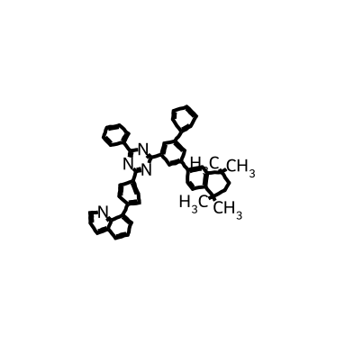 CC1(C)CCC(C)(C)c2cc(-c3cc(-c4ccccc4)cc(-c4nc(-c5ccccc5)nc(-c5ccc(-c6cccc7cccnc67)cc5)n4)c3)ccc21